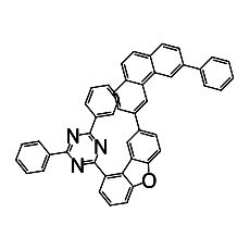 c1ccc(-c2ccc3ccc4ccc(-c5ccc6oc7cccc(-c8nc(-c9ccccc9)nc(-c9ccccc9)n8)c7c6c5)cc4c3c2)cc1